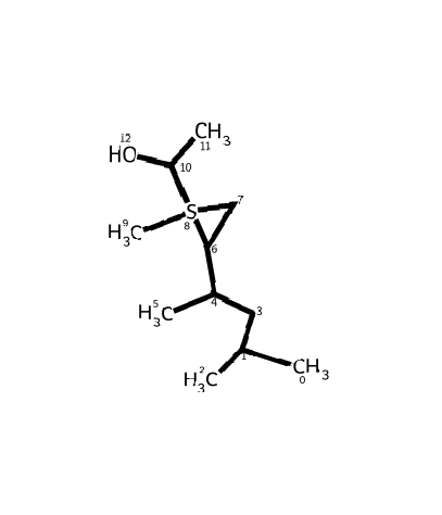 CC(C)CC(C)C1CS1(C)C(C)O